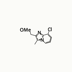 COCc1nc2n(c1C)C=C=C=C2Cl